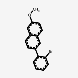 COc1ccc2cc(-c3ccccc3Br)ccc2c1